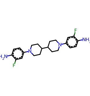 Nc1ccc(N2CCC(C3CCN(c4ccc(N)c(F)c4)CC3)CC2)cc1F